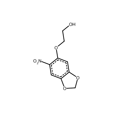 O=[N+]([O-])c1cc2c(cc1OCCO)OCO2